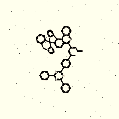 C=C/C=C(\C=C(/C)c1ccc(-c2nc(-c3ccccc3)nc(-c3ccccc3)n2)cc1)c1nc2ccccc2c2c3c(ccc12)C1(c2ccccc2Oc2ccccc21)c1ccccc1-3